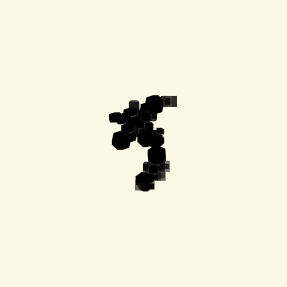 C=CCN1CC(=O)N2[C@@H](Cc3ccc(O)cc3)C(=O)N(Cc3cccc4c(-c5ccc(NC(=O)Nc6ccncn6)cc5)cn(C)c34)C[C@@H]2N1C(=C)NCc1ccccc1